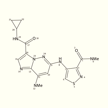 CNC(=O)c1nscc1Nc1cc(NC)c2ncc(C(=O)NC3CC3)n2n1